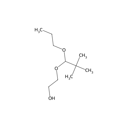 CCCOC(OCCO)C(C)(C)C